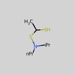 CCCN(SC(C)S)C(C)C